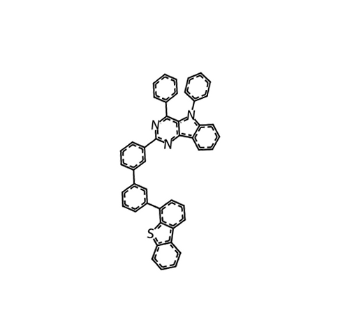 c1ccc(-c2nc(-c3cccc(-c4cccc(-c5cccc6c5sc5ccccc56)c4)c3)nc3c4ccccc4n(-c4ccccc4)c23)cc1